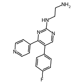 NCCNc1ncc(-c2ccc(F)cc2)c(-c2ccncc2)n1